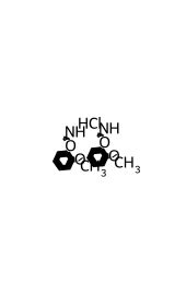 COc1ccccc1OC=N.COc1ccccc1OC=N.Cl